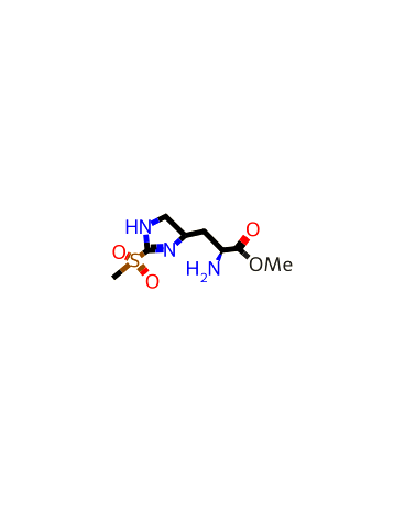 COC(=O)[C@@H](N)CC1CNC(S(C)(=O)=O)=N1